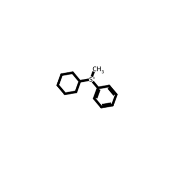 C[S+](c1ccccc1)C1CCCCC1